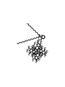 CCCCCCCCCCCCCCCC[NH+](CCCCCCCCCCCC)c1ccccc1C.Fc1c(F)c(F)c2c(F)c([B-](c3c(F)c(F)c4c(F)c(F)c(F)c(F)c4c3F)(c3c(F)c(F)c4c(F)c(F)c(F)c(F)c4c3F)c3c(F)c(F)c4c(F)c(F)c(F)c(F)c4c3F)c(F)c(F)c2c1F